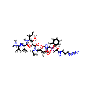 CC[C@H](C)[C@@H]([C@@H](CC(=O)N1CCC[C@H]1[C@H](OC)[C@@H](C)C(=O)N[C@@H](Cc1ccccc1)P(=O)(O)CC(=O)NCCCN=[N+]=[N-])OC)N(C)C(=O)[C@@H](/N=C(\C(C)C)N(C)C)C(C)C